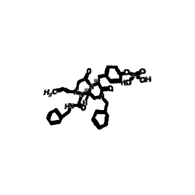 C=CCN1CC(=O)N2[C@@H](Cc3ccc(OP(=O)(O)O)cc3)C(=O)N(Cc3ccccc3)C[C@@H]2N1C(=O)NCc1ccccc1